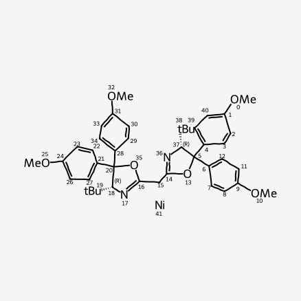 COc1ccc(C2(c3ccc(OC)cc3)OC(CC3=N[C@H](C(C)(C)C)C(c4ccc(OC)cc4)(c4ccc(OC)cc4)O3)=N[C@@H]2C(C)(C)C)cc1.[Ni]